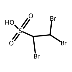 O=S(=O)(O)C(Br)C(Br)Br